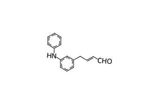 O=CC=CCc1cccc(Nc2ccccc2)c1